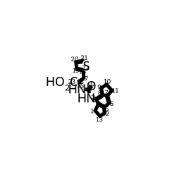 O=C(Nc1c2c(cc3c1CCC3)CCC2)N[C@H](Cc1cccs1)C(=O)O